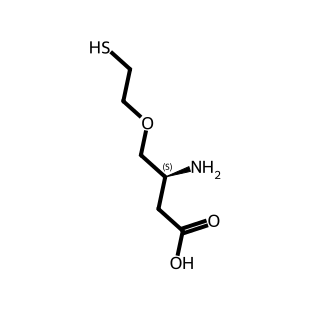 N[C@H](COCCS)CC(=O)O